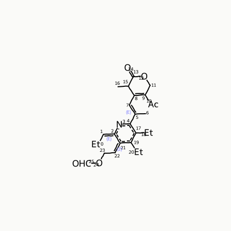 CC/C=c1/nc(/C(C)=C/C2=C(C(C)=O)COC(=O)C2C)c(CC)c(CC)/c1=C/COC=O